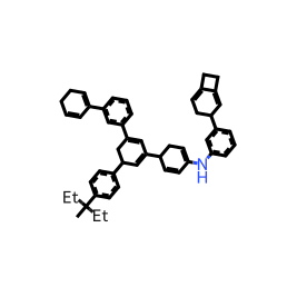 CCC(C)(CC)c1ccc(C2C=C(C3C=CC(Nc4cccc(C5C=C6CCC6=CC5)c4)=CC3)C=C(c3cccc(C4=CCCC=C4)c3)C2)cc1